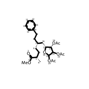 COC(=O)[C@@H](C)CC[C@H](CCc1ccccc1)C[C@H]1OC(OC(C)=O)C(OC(C)=O)[C@H]1OC(C)=O